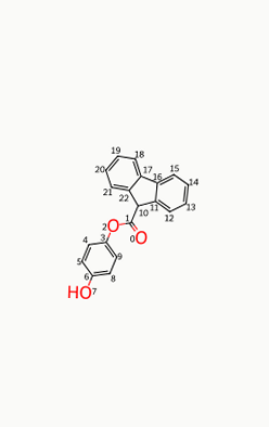 O=C(Oc1ccc(O)cc1)C1c2ccccc2-c2ccccc21